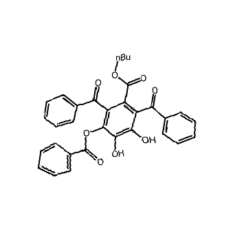 CCCCOC(=O)c1c(C(=O)c2ccccc2)c(O)c(O)c(OC(=O)c2ccccc2)c1C(=O)c1ccccc1